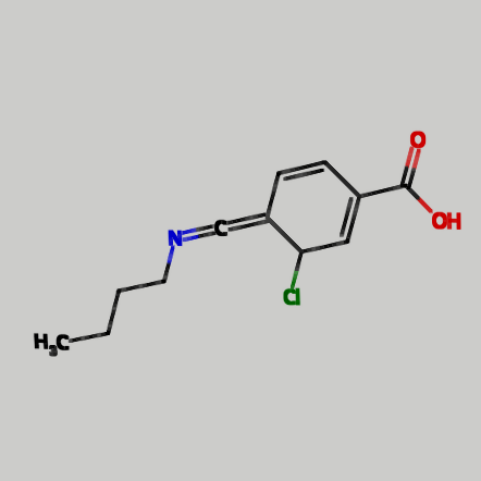 CCCCN=C=C1C=CC(C(=O)O)=CC1Cl